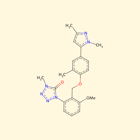 COc1cccc(-n2nnn(C)c2=O)c1COc1ccc(-c2cc(C)nn2C)cc1C